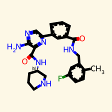 Cc1ccc(F)cc1CNC(=O)c1cccc(-c2cnc(N)c(C(=O)N[C@H]3CCCNC3)n2)c1